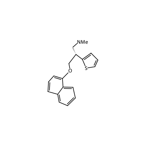 CNC[C@@H](COc1cccc2ccccc12)c1cccs1